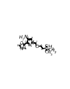 C[Si](C)(C)CCOCn1cc(N)c(-c2nnco2)n1